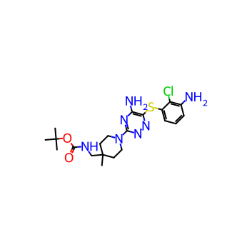 CC1(CNC(=O)OC(C)(C)C)CCN(c2nnc(Sc3cccc(N)c3Cl)c(N)n2)CC1